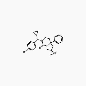 C[C@]1(CC2(c3ccccc3)CCN([C@H](c3ccc(Br)cc3)C3CC3)C(=O)O2)CO1